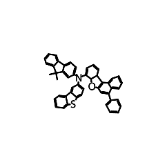 CC1(C)c2ccccc2-c2ccc(N(C3=CC=CC4c5c(cc(-c6ccccc6)c6ccccc56)OC34)c3ccc4sc5ccccc5c4c3)cc21